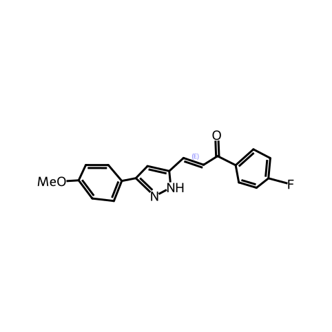 COc1ccc(-c2cc(/C=C/C(=O)c3ccc(F)cc3)[nH]n2)cc1